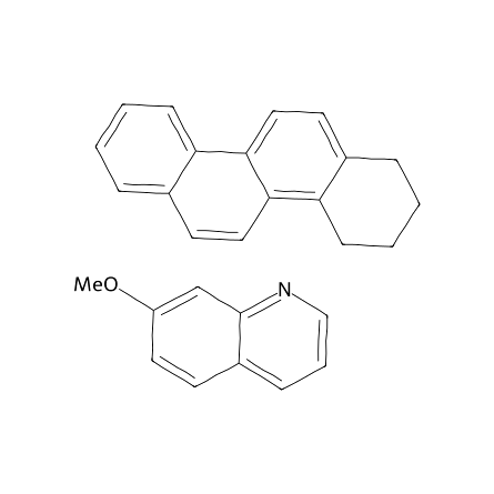 COc1ccc2cccnc2c1.c1ccc2c(c1)ccc1c3c(ccc12)CCCC3